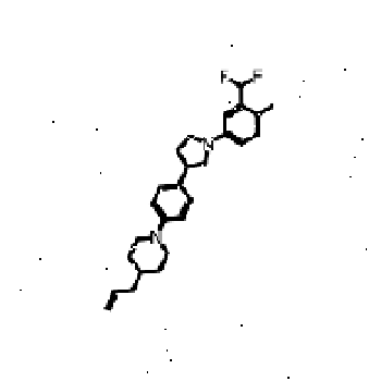 C=CCC1CCN(c2ccc(C3CCN(C4=CCC(C)C(C(F)F)=C4)C3)cc2)CC1